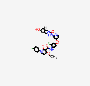 CCOc1ccn(-c2ccc(F)cc2)c(=O)c1C(=O)Nc1ccc(Oc2ccnc(NC(=O)N3CC4C[C@H](O)C[C@@H]4C3)c2)cc1F